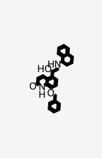 O=c1ccc2c([C@@H](O)CN[C@@H]3CCCc4ccccc43)ccc(OCc3ccccc3)c2[nH]1